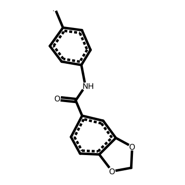 [CH2]c1ccc(NC(=O)c2ccc3c(c2)OCO3)cc1